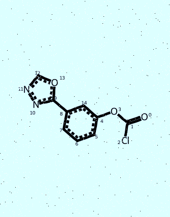 O=C(Cl)Oc1cccc(-c2nnco2)c1